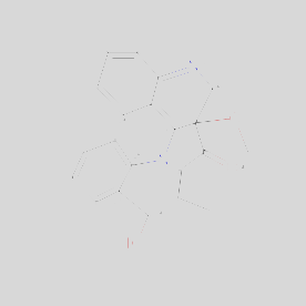 CCCC(=O)C1(OC)CN=c2ccccc2=C1Nc1ccccc1CO